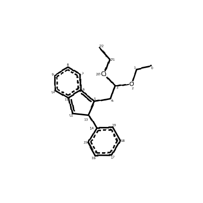 CCOC(CC1=c2ccccc2=CC1c1ccccc1)OCC